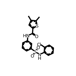 Cc1cc(C(=O)Nc2cccc(S(=O)(=O)Nc3ccccc3Cl)c2)sc1C